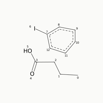 CCCC(=O)O.Ic1ccccc1